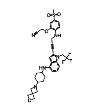 CS(=O)(=O)c1ccc(NCC#Cc2cc3c(NC4CCC(N5CC6(COC6)C5)CC4)cccc3n2CC(F)(F)F)c(OCC#N)c1